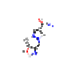 NC(=O)c1cnn(Cc2ncoc2C(F)(F)F)c1